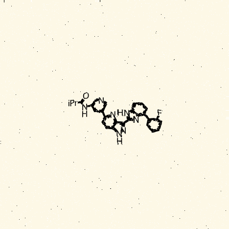 CC(C)C(=O)Nc1cncc(-c2ccc3[nH]nc(-c4nc5c(-c6ccccc6F)cccc5[nH]4)c3n2)c1